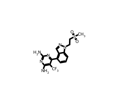 CS(=O)(=O)CCn1ncc2c(-c3nc(N)nc(N)c3C(F)(F)F)cccc21